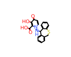 O=C(O)c1c(O)c(=O)ccn1NC1c2ccccc2CSc2ccccc21